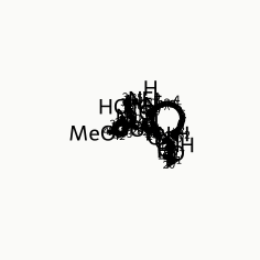 CC[C@@H]1C[C@H](C)CCC=C[C@@H]2C[C@@]2(C(=O)NS(=O)(=O)C2(C)CC2)NC(=O)[C@@H]2C[C@@H](Oc3cc(-n4ccnc4)nc4cc(OC)ccc34)CN2C(=O)[C@H]1NC(=O)O